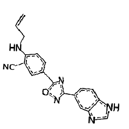 C=CCNc1ccc(-c2nc(-c3ccc4[nH]cnc4c3)no2)cc1C#N